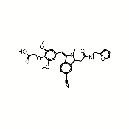 COc1cc(/C=C2\c3ccc(C#N)cc3C(CC(=O)NCc3ccco3)N2C)cc(OC)c1OCC(=O)O